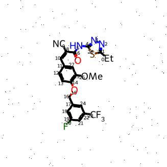 CCc1nnc(NC(=O)C(C#N)=Cc2ccc(OCc3cc(F)cc(C(F)(F)F)c3)c(OC)c2)s1